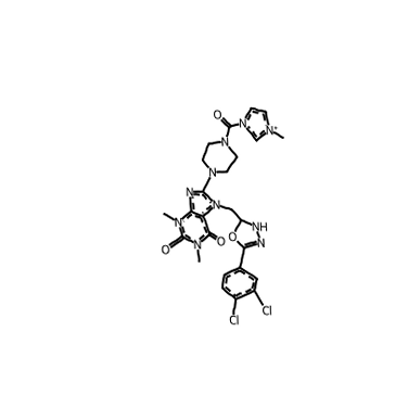 Cn1c(=O)c2c(nc(N3CCN(C(=O)n4cc[n+](C)c4)CC3)n2CC2NN=C(c3ccc(Cl)c(Cl)c3)O2)n(C)c1=O